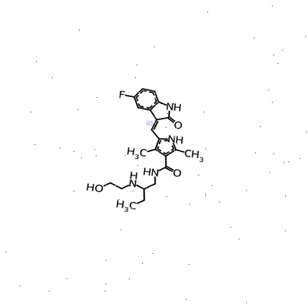 CCC(CNC(=O)c1c(C)[nH]c(/C=C2\C(=O)Nc3ccc(F)cc32)c1C)NCCO